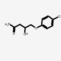 NC(=O)CC(O)COc1ccc(Cl)cc1